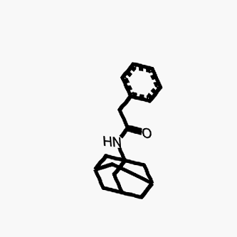 O=C(Cc1ccccc1)NC12CC3CC(CC(C3)C1)C2